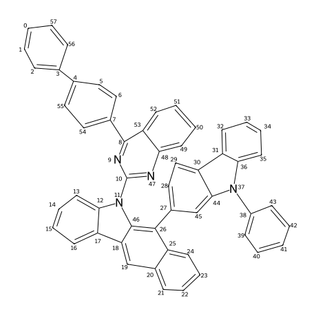 c1ccc(-c2ccc(-c3nc(-n4c5ccccc5c5cc6ccccc6c(-c6ccc7c8ccccc8n(-c8ccccc8)c7c6)c54)nc4ccccc34)cc2)cc1